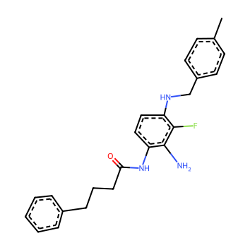 Cc1ccc(CNc2ccc(NC(=O)CCCc3ccccc3)c(N)c2F)cc1